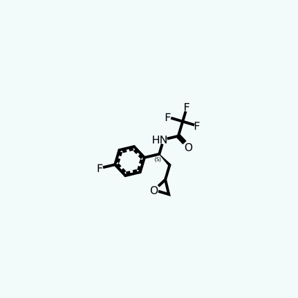 O=C(N[C@@H](CC1CO1)c1ccc(F)cc1)C(F)(F)F